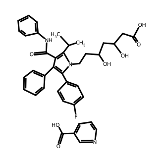 CC(C)c1c(C(=O)Nc2ccccc2)c(-c2ccccc2)c(-c2ccc(F)cc2)n1CCC(O)CC(O)CC(=O)O.O=C(O)c1cccnc1